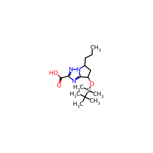 CCCC1CC(O[Si](C)(C)C(C)(C)C)c2nc(C(=O)O)nn21